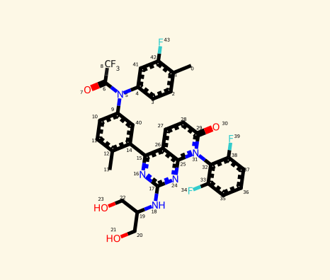 Cc1ccc(N(C(=O)C(F)(F)F)c2ccc(C)c(-c3nc(NC(CO)CO)nc4c3ccc(=O)n4-c3c(F)cccc3F)c2)cc1F